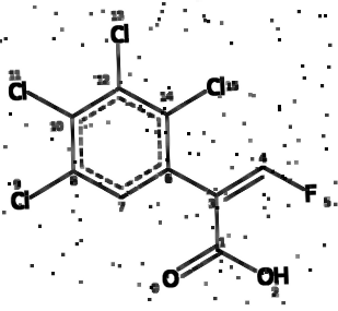 O=C(O)/C(=C\F)c1cc(Cl)c(Cl)c(Cl)c1Cl